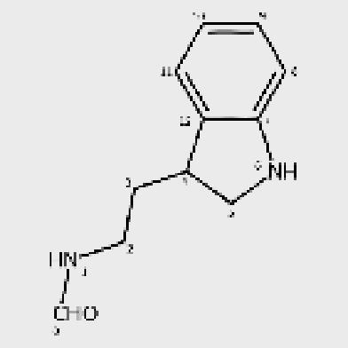 O=CNCCC1CNc2ccccc21